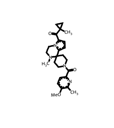 COc1ccc(C(=O)N2CCC3(CC2)c2ccc(C(=O)C4(C)CC4)n2CCN3C)nc1C